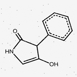 O=C1NC=C(O)C1c1ccccc1